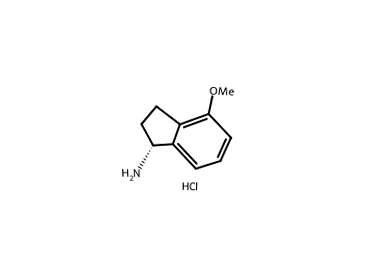 COc1cccc2c1CC[C@H]2N.Cl